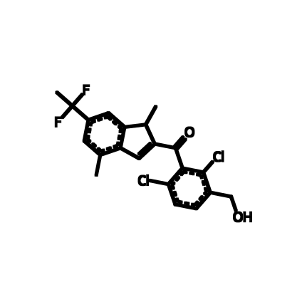 Cc1cc(C(C)(F)F)cc2c1C=C(C(=O)c1c(Cl)ccc(CO)c1Cl)C2C